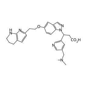 CN(C)Cc1cncc(C(CC(=O)O)n2ncc3cc(OCCc4ccc5c(n4)NCCC5)ccc32)c1